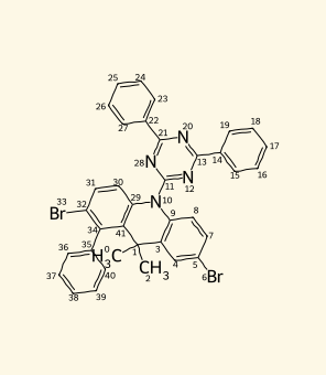 CC1(C)c2cc(Br)ccc2N(c2nc(-c3ccccc3)nc(-c3ccccc3)n2)c2ccc(Br)c(-c3ccccc3)c21